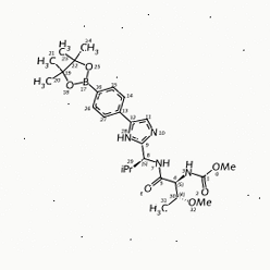 COC(=O)N[C@H](C(=O)N[C@H](c1ncc(-c2ccc(B3OC(C)(C)C(C)(C)O3)cc2)[nH]1)C(C)C)[C@@H](C)OC